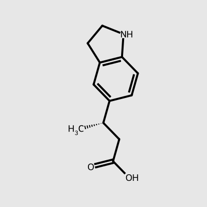 C[C@@H](CC(=O)O)c1ccc2c(c1)CCN2